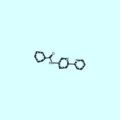 O=C(Nc1ccc(-c2ccccn2)nc1)c1ccccc1